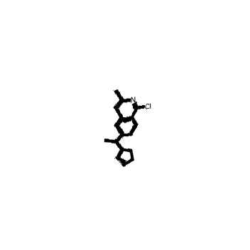 CC1Cc2cc(C(C)C3CCCC3)ccc2C(Cl)=N1